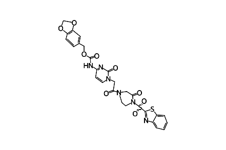 O=C(Nc1ccn(CC(=O)N2CCN(S(=O)(=O)c3nc4ccccc4s3)C(=O)C2)c(=O)n1)OCc1ccc2c(c1)OCO2